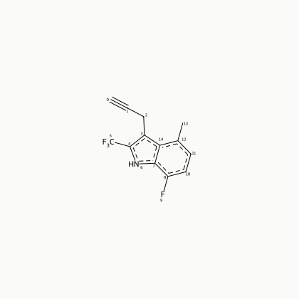 C#CCc1c(C(F)(F)F)[nH]c2c(F)ccc(C)c12